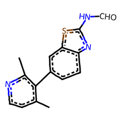 Cc1ccnc(C)c1-c1ccc2nc(NC=O)sc2c1